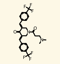 CN(C)CCC(=O)N1C/C(=C\c2ccc(C(F)(F)F)cc2)C(=O)/C(=C/c2ccc(C(F)(F)F)cc2)C1